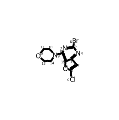 Clc1cc2nc(Br)nc(N3CCOCC3)c2o1